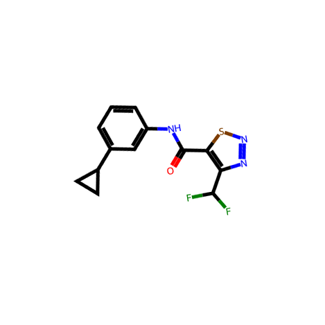 O=C(Nc1cccc(C2CC2)c1)c1snnc1C(F)F